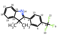 CC1(C)C(c2ccc(C(F)(F)F)cc2)=Nc2ccccc21